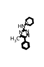 Cc1nc(NN2CCCCC2)nnc1-c1ccccc1